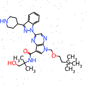 CC(C)(CO)NC(=O)c1cn(COCC[Si](C)(C)C)c2ncc(-n3nc(C4CCNCC4)c4ccccc43)nc12